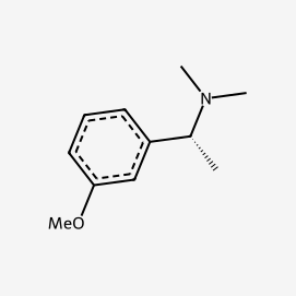 COc1cccc([C@@H](C)N(C)C)c1